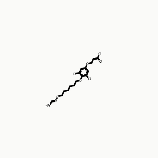 CCCC=NOCCCCCCOc1c(Cl)cc(OCC=C(Cl)Cl)cc1Cl